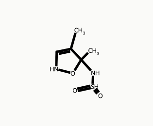 CC1=CNOC1(C)N[SH](=O)=O